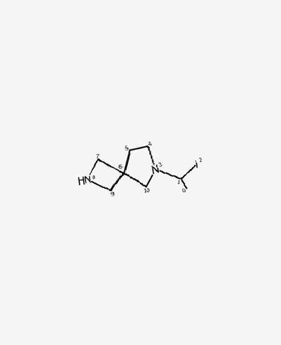 CC(I)N1CCC2(CNC2)C1